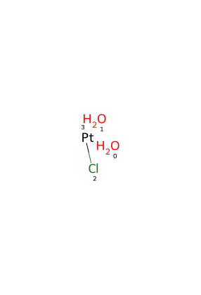 O.O.[Cl][Pt]